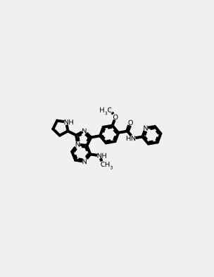 CNc1nccn2c(C3CCCN3)nc(-c3ccc(C(=O)Nc4ccccn4)c(OC)c3)c12